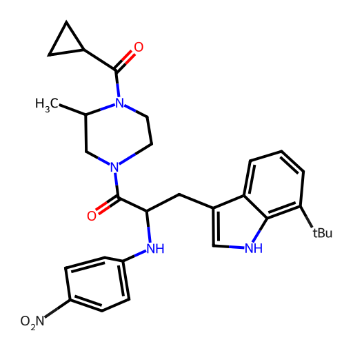 CC1CN(C(=O)C(Cc2c[nH]c3c(C(C)(C)C)cccc23)Nc2ccc([N+](=O)[O-])cc2)CCN1C(=O)C1CC1